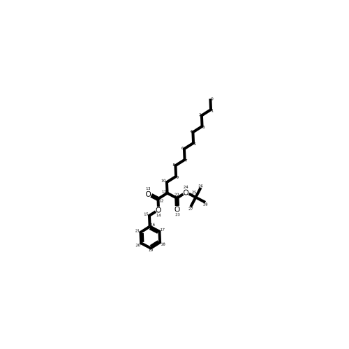 CCCCCCCCCCCC(C(=O)OCc1ccccc1)C(=O)OC(C)(C)C